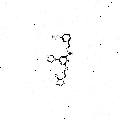 Cc1cccc(C=NNc2cc(N3CCSC3)nc(OCCN3CCOC3=O)n2)c1